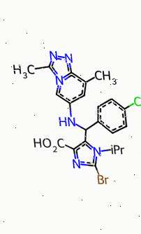 Cc1cc(NC(c2ccc(Cl)cc2)c2c(C(=O)O)nc(Br)n2C(C)C)cn2c(C)nnc12